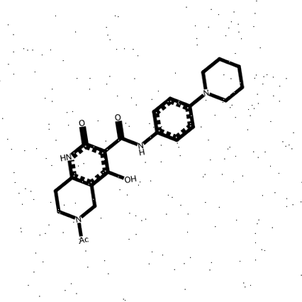 CC(=O)N1CCc2[nH]c(=O)c(C(=O)Nc3ccc(N4CCCCC4)cc3)c(O)c2C1